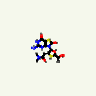 CCC(O)C1O[C@@H](n2c(=O)sc3c(=O)[nH]c(N)nc32)[C@H](CC(=O)N(C)C)S1